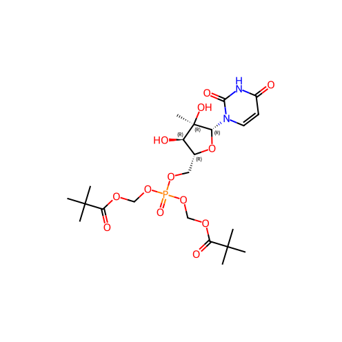 CC(C)(C)C(=O)OCOP(=O)(OCOC(=O)C(C)(C)C)OC[C@H]1O[C@@H](n2ccc(=O)[nH]c2=O)[C@](C)(O)[C@@H]1O